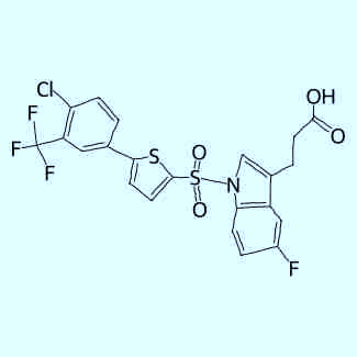 O=C(O)CCc1cn(S(=O)(=O)c2ccc(-c3ccc(Cl)c(C(F)(F)F)c3)s2)c2ccc(F)cc12